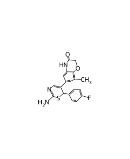 Cc1cc(C2=CN=C(N)SC2c2ccc(F)cc2)cc2c1OCC(=O)N2